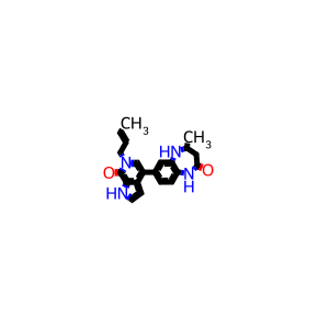 CC=CCn1cc(-c2ccc3c(c2)NC(C)CC(=O)N3)c2cc[nH]c2c1=O